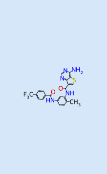 Cc1ccc(NC(=O)c2ccc(C(F)(F)F)cc2)cc1NC(=O)c1csc2c(N)ncnc12